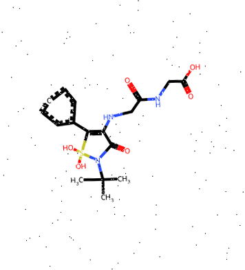 CC(C)(C)N1C(=O)C(NCC(=O)NCC(=O)O)=C(c2ccccc2)S1(O)O